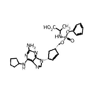 CC(N[P@@](=O)(OC[C@@H]1C=C[C@H](n2cnc3c(NC4CCCC4)nc(N)nc32)C1)Oc1ccccc1)C(=O)O